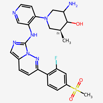 C[C@H]1CN(c2ccncc2Nc2ncc3ccc(-c4ccc(S(C)(=O)=O)cc4F)nn23)CC(N)C1O